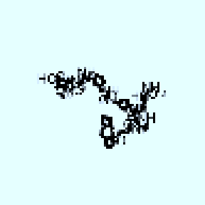 CNC(C(=O)N[C@H](C(=O)N(C)[C@H](/C=C(\C)C(=O)O)C(C)C)C(C)(C)C)C(C)(C)c1cccc(CNC(=O)OCc2ccc(NC(=O)C(CCCNC(N)=O)NC(=O)[C@@H](NC(=O)CCC(=O)N3Cc4ccccc4/C=C\c4ccccc43)C(C)C)cc2)c1